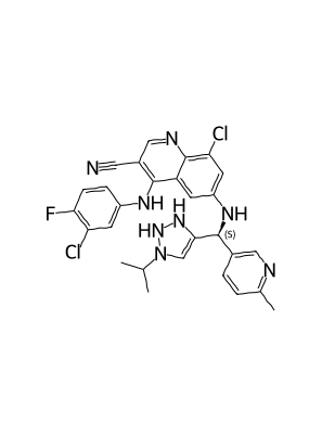 Cc1ccc([C@H](Nc2cc(Cl)c3ncc(C#N)c(Nc4ccc(F)c(Cl)c4)c3c2)C2=CN(C(C)C)NN2)cn1